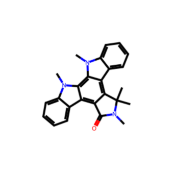 CN1C(=O)c2c(c3c4ccccc4n(C)c3c3c2c2ccccc2n3C)C1(C)C